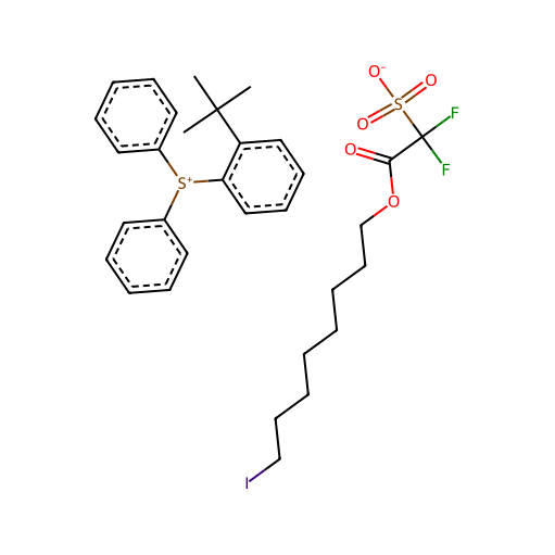 CC(C)(C)c1ccccc1[S+](c1ccccc1)c1ccccc1.O=C(OCCCCCCCCI)C(F)(F)S(=O)(=O)[O-]